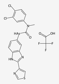 CN(C(=O)[AsH]c1ccc2[nH]c(-c3cscn3)nc2c1)c1ccc(Cl)c(Cl)c1.O=C(O)C(F)(F)F